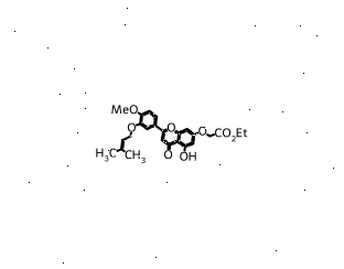 CCOC(=O)COc1cc(O)c2c(=O)cc(-c3ccc(OC)c(OCC=C(C)C)c3)oc2c1